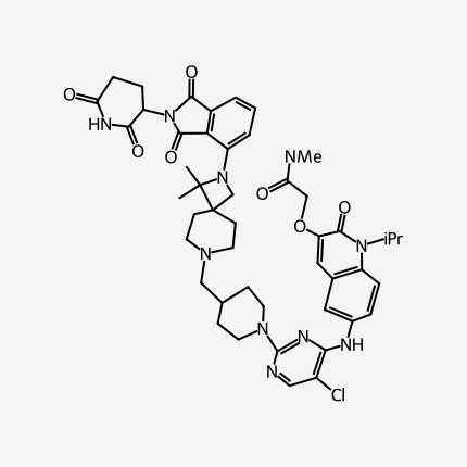 CNC(=O)COc1cc2cc(Nc3nc(N4CCC(CN5CCC6(CC5)CN(c5cccc7c5C(=O)N(C5CCC(=O)NC5=O)C7=O)C6(C)C)CC4)ncc3Cl)ccc2n(C(C)C)c1=O